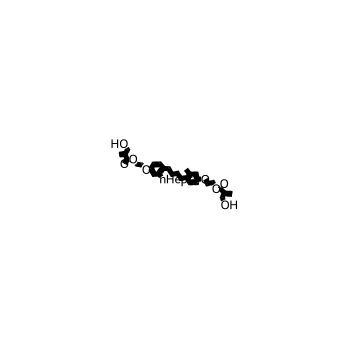 C=C(CO)C(=O)OCCOc1ccc(CCCCc2ccc(OCCOC(=O)C(=C)CO)cc2CCCCCCC)c(C)c1